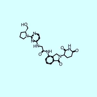 O=C1CCC(N2Cc3c(NC(=O)CNc4ccnc(N5CCC[C@H]5CO)n4)cccc3C2=O)C(=O)N1